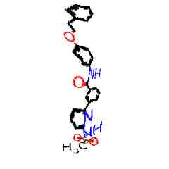 CS(=O)(=O)Nc1cccc(-c2cccc(C(=O)Nc3ccc(OCCc4ccccc4)cc3)c2)n1